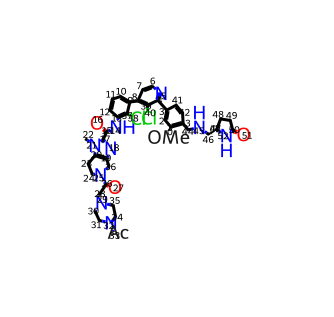 COc1cc(-c2nccc(-c3cccc(NC(=O)c4nc5c(n4C)CCN(C(=O)CN4CCN(C(C)=O)CC4)C5)c3Cl)c2Cl)ccc1CNC[C@H]1CCC(=O)N1